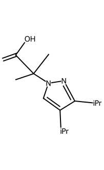 C=C(O)C(C)(C)n1cc(C(C)C)c(C(C)C)n1